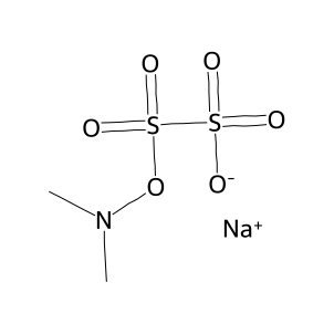 CN(C)OS(=O)(=O)S(=O)(=O)[O-].[Na+]